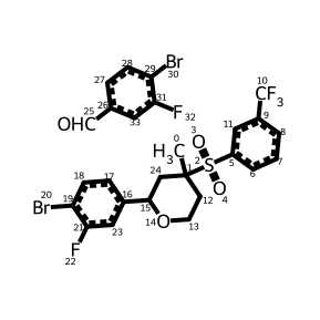 CC1(S(=O)(=O)c2cccc(C(F)(F)F)c2)CCOC(c2ccc(Br)c(F)c2)C1.O=Cc1ccc(Br)c(F)c1